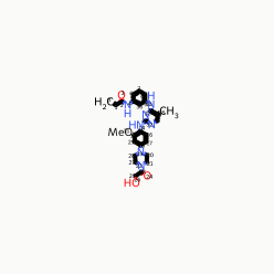 C=CC(=O)Nc1cccc(Nc2nc(Nc3ccc(N4CCN(C(=O)CO)CC4)cc3OC)ncc2C)c1